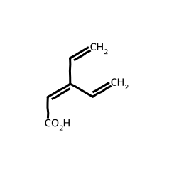 C=CC(C=C)=CC(=O)O